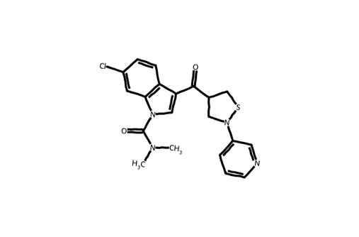 CN(C)C(=O)n1cc(C(=O)C2CSN(c3cccnc3)C2)c2ccc(Cl)cc21